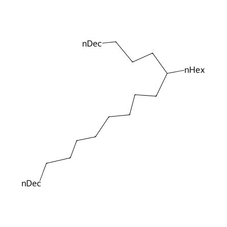 [CH2]CCCCCC(CCCCCCCCCCCCC)CCCCCCCCCCCCCCCCCC